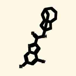 O=C(NC12CC3CCCC(C1)C(C3)C2)c1cc2c(Br)cc(Br)cn2n1